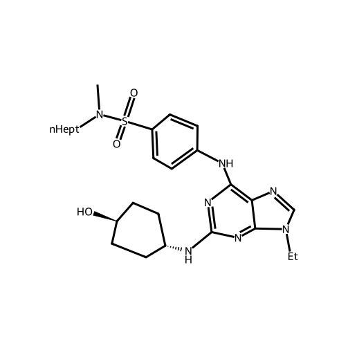 CCCCCCCN(C)S(=O)(=O)c1ccc(Nc2nc(N[C@H]3CC[C@H](O)CC3)nc3c2ncn3CC)cc1